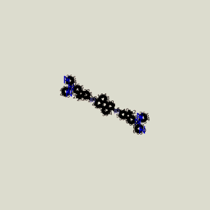 CC1(C)c2cc(/C=C/c3ccc4c5cccc6c(/C=C/c7ccc8c(c7)C(C)(C)c7cc(N(c9cccnc9)c9ccccn9)ccc7-8)ccc(c7cccc3c74)c65)ccc2-c2ccc(N(c3cccnc3)c3ccccn3)cc21